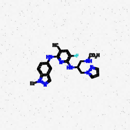 CCn1ncc2cc(Nc3nc(NC(CNC(=O)O)Cn4cccn4)c(F)cc3C#N)ccc21